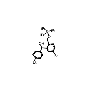 CCc1ccc(C(O)c2cc(Br)ccc2CO[Si](C(C)C)(C(C)C)C(C)C)cc1